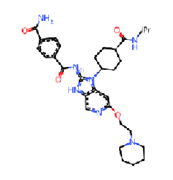 CC(C)NC(=O)[C@H]1CC[C@@H](n2/c(=N/C(=O)c3ccc(C(N)=O)cc3)[nH]c3cnc(OCCN4CCCCC4)cc32)CC1